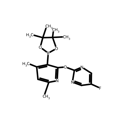 Cc1cc(C)c(B2OC(C)(C)C(C)(C)O2)c(Oc2ncc(F)cn2)n1